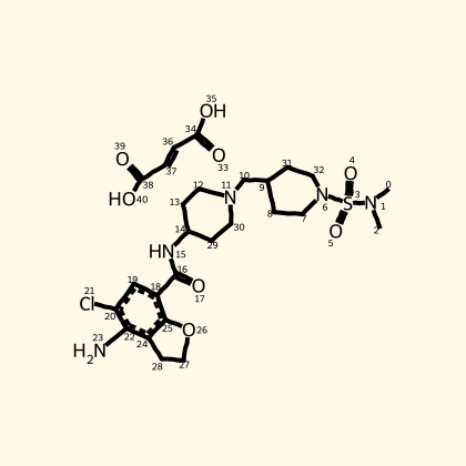 CN(C)S(=O)(=O)N1CCC(CN2CCC(NC(=O)c3cc(Cl)c(N)c4c3OCC4)CC2)CC1.O=C(O)C=CC(=O)O